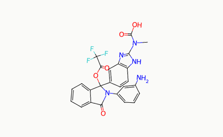 CN(C(=O)O)c1nc2cc(C3(OC(=O)C(F)(F)F)c4ccccc4C(=O)N3c3cccc(N)c3)ccc2[nH]1